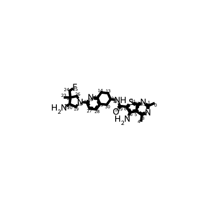 Cc1nc(C)c2c(N)c(C(=O)NC3CCc4nc(N5CC(N)C(C)(CF)C5)ccc4C3)sc2n1